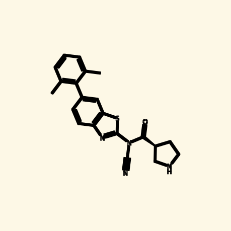 Cc1cccc(C)c1-c1ccc2nc(N(C#N)C(=O)[C@H]3CCNC3)sc2c1